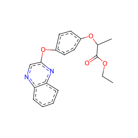 CCOC(=O)C(C)Oc1ccc(Oc2cnc3ccccc3n2)cc1